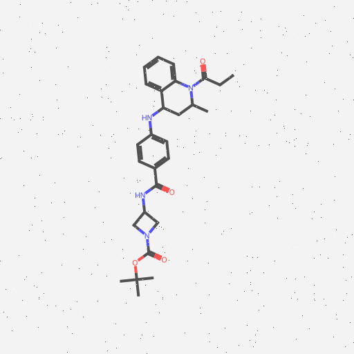 CCC(=O)N1c2ccccc2C(Nc2ccc(C(=O)NC3CN(C(=O)OC(C)(C)C)C3)cc2)CC1C